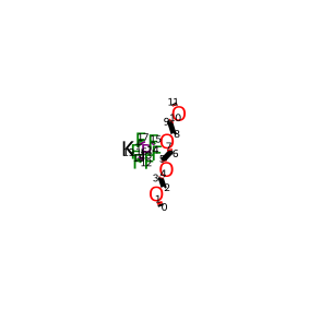 COCCOCCOCCOC.F[P-](F)(F)(F)(F)F.[K+]